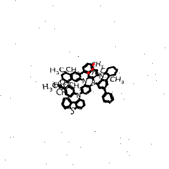 Cc1cc2c3c(c1)N1c4c(cc(-c5ccccc5)cc4C4(C)CCCCC14C)B3c1ccc(N(c3ccc(C(C)(C)C)cc3)c3cccc4sc5ccccc5c34)cc1N2c1cc2c(cc1-c1ccccc1)C(C)(C)CCC2(C)C